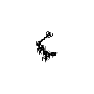 CC(Oc1cc(-c2nn(C)c3c(-c4cnn(CCCCCCCOS(C)(=O)=O)c4)cnc(N)c23)ccc1NS(=O)(=O)C(F)F)c1ccc(F)cc1